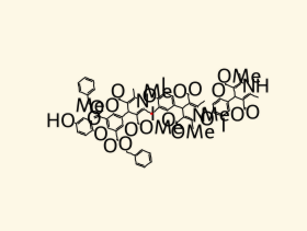 COC(=O)C1=C(C)NC(C)=C(C(=O)OC)C1c1ccc(ON2C(C)=C(C(=O)OC)C(c3cc(I)c(ON4C(C)=C(C(=O)OC)C(c5cc(C(=O)OCc6ccccc6)c(Oc6ccc(O)cc6)c(C(=O)OCc6ccccc6)c5)C(C(=O)OC)=C4C)c(I)c3)C(C(=O)OC)=C2C)c(I)c1